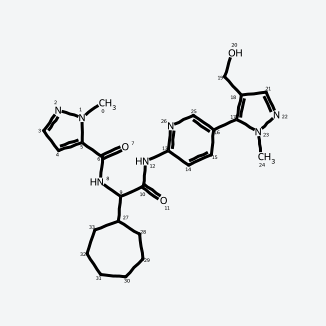 Cn1nccc1C(=O)NC(C(=O)Nc1ccc(-c2c(CO)cnn2C)cn1)C1CCCCCC1